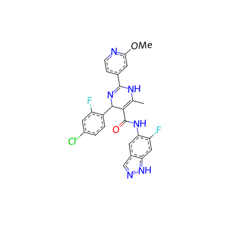 COc1cc(C2=NC(c3ccc(Cl)cc3F)C(C(=O)Nc3cc4cn[nH]c4cc3F)=C(C)N2)ccn1